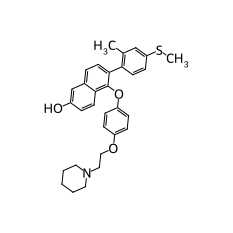 CSc1ccc(-c2ccc3cc(O)ccc3c2Oc2ccc(OCCN3CCCCC3)cc2)c(C)c1